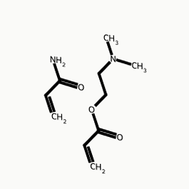 C=CC(=O)OCCN(C)C.C=CC(N)=O